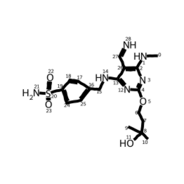 CNc1nc(OCCC(C)(C)O)nc(NCc2ccc(S(N)(=O)=O)cc2)c1C=N